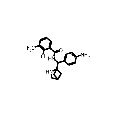 Nc1ccc(C(NC(=O)c2cccc(C(F)(F)F)c2Cl)C23CC(CN2)C3)cc1